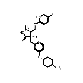 C[C@H]1CC[C@H](Oc2ccnc(C[C@](O)(C(=O)O)[C@@H](N)COC3=CC=C(F)CN3)c2)CC1